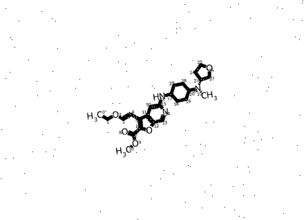 CCO/C=C/c1c(C(=O)OC)oc2cnc(NC3CCC(N(C)[C@H]4CCOC4)CC3)cc12